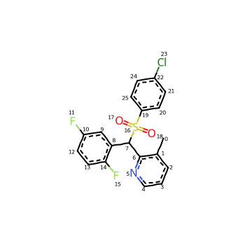 Cc1cccnc1C(c1cc(F)ccc1F)S(=O)(=O)c1ccc(Cl)cc1